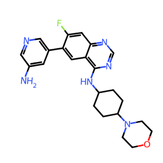 Nc1cncc(-c2cc3c(NC4CCC(N5CCOCC5)CC4)ncnc3cc2F)c1